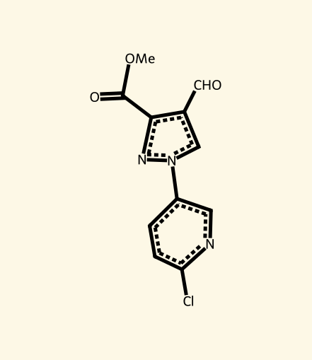 COC(=O)c1nn(-c2ccc(Cl)nc2)cc1C=O